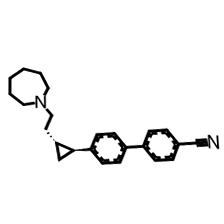 N#Cc1ccc(-c2ccc([C@H]3C[C@@H]3CCN3CCCCCC3)cc2)cc1